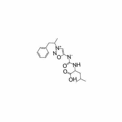 CC(C)CC(NC(=O)[N-]c1c[n+](C(C)Cc2ccccc2)no1)C(=O)O